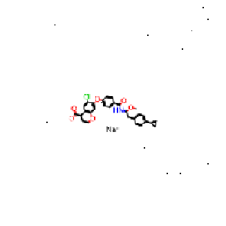 COC(Cc1ccc(C2CC2)cc1)NC(=O)c1ccc(Oc2cc3c(cc2Cl)C(C(=O)[O-])CCO3)cc1.[Na+]